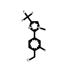 Cn1cc(C(F)(F)F)nc1-c1ccc(CCl)c(F)c1